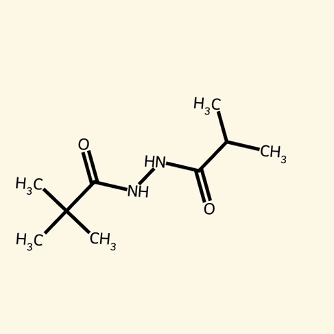 CC(C)C(=O)NNC(=O)C(C)(C)C